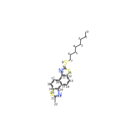 CCCCCCCCSc1nc2c(ccc3c2ccc2sc(C)nc23)s1